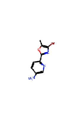 Cc1oc(-c2ccc(N)cn2)nc1Br